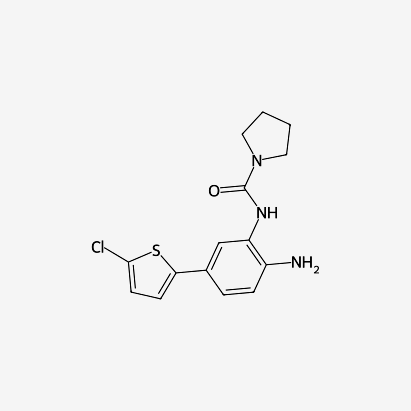 Nc1ccc(-c2ccc(Cl)s2)cc1NC(=O)N1CCCC1